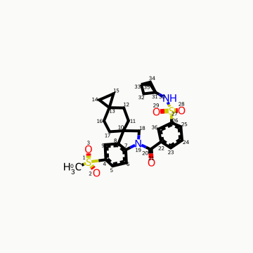 CS(=O)(=O)c1ccc2c(c1)C1(CCC3(CC3)CC1)CN2C(=O)c1cccc(S(=O)(=O)NC23CC(C2)C3)c1